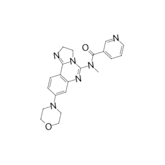 CN(C(=O)c1cccnc1)C1=Nc2cc(N3CCOCC3)ccc2C2=NCCN21